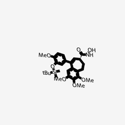 COc1ccc(C2=C[C@H](C(=O)NO)CCc3c2cc(OC)c(OC)c3OC)cc1O[Si](C)(C)C(C)(C)C